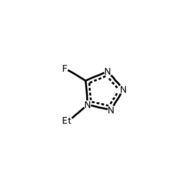 CCn1nnnc1F